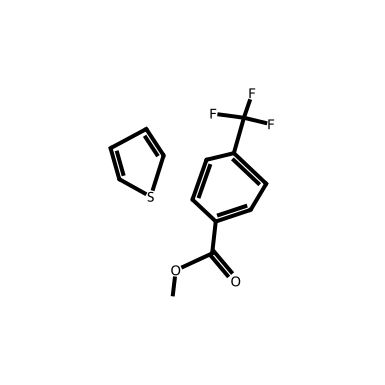 COC(=O)c1ccc(C(F)(F)F)cc1.c1ccsc1